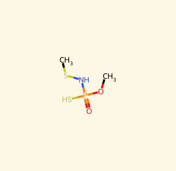 COP(=O)(S)NSC